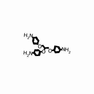 Nc1ccc(OCC(COc2ccc(N)cc2)Oc2ccc(N)cc2)cc1